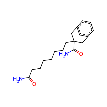 NC(=O)CCCCCCCC1(C(N)=O)Cc2cccc(c2)C1